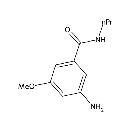 CCCNC(=O)c1cc(N)cc(OC)c1